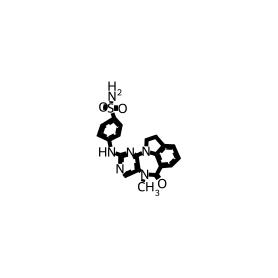 CN1C(=O)c2cccc3c2N(CC3)c2nc(Nc3ccc(S(N)(=O)=O)cc3)ncc21